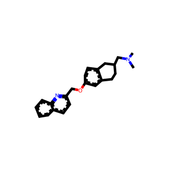 CN(C)CC1CCc2cc(OCc3ccc4ccccc4n3)ccc2C1